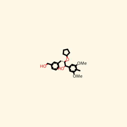 COc1cc([C@@H](O)[C@H](Cc2cccc(CO)c2)OC2CCCC2)cc(OC)c1C